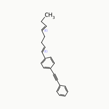 CC/C=C/CC/C=C/c1ccc(C#Cc2ccccc2)cc1